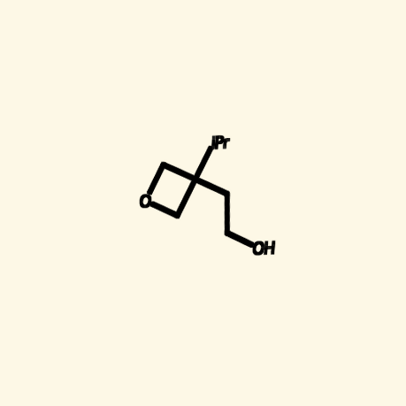 CC(C)C1(CCO)COC1